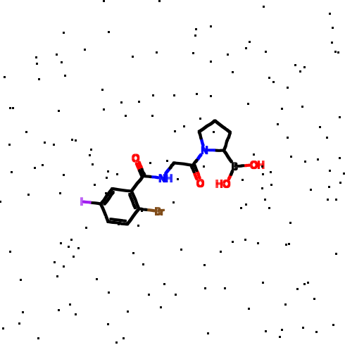 O=C(NCC(=O)N1CCCC1B(O)O)c1cc(I)ccc1Br